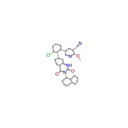 COc1ncc(-c2cccc(Cl)c2-c2ccc3c(=O)n(-c4cccc5ccccc45)c(=O)[nH]c3c2)cc1C#N